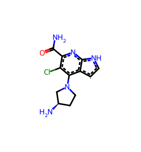 NC(=O)c1nc2[nH]c[c]c2c(N2CC[C@@H](N)C2)c1Cl